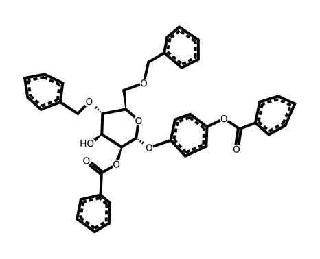 O=C(Oc1ccc(O[C@H]2O[C@H](COCc3ccccc3)[C@@H](OCc3ccccc3)[C@H](O)[C@@H]2OC(=O)c2ccccc2)cc1)c1ccccc1